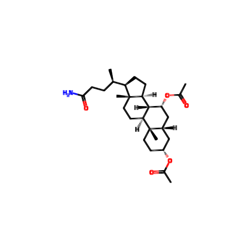 CC(=O)O[C@@H]1CC[C@@]2(C)[C@@H](C1)C[C@@H](OC(C)=O)[C@@H]1[C@@H]2CC[C@]2(C)[C@@H]([C@H](C)CCC(N)=O)CC[C@@H]12